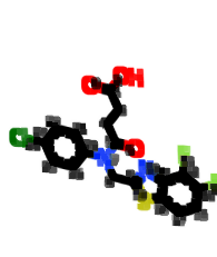 O=C(O)CCC(=O)N(Cc1nc2c(F)c(F)ccc2s1)c1ccc(Cl)cc1